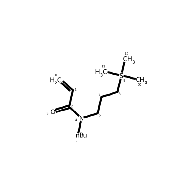 C=CC(=O)N(CCCC)CCCS(C)(C)C